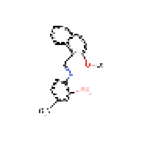 Bc1cc([N+](=O)[O-])ccc1/N=C/c1c(OCC)ccc2ccccc12